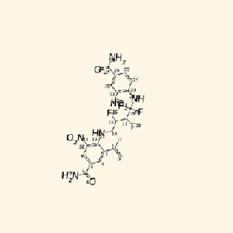 C=C(C)c1cc(C(N)=O)cc([N+](=O)[O-])c1NCC(F)C(F)C(F)(F)Nc1ccc(C(N)=O)cc1[N+](=O)[O-]